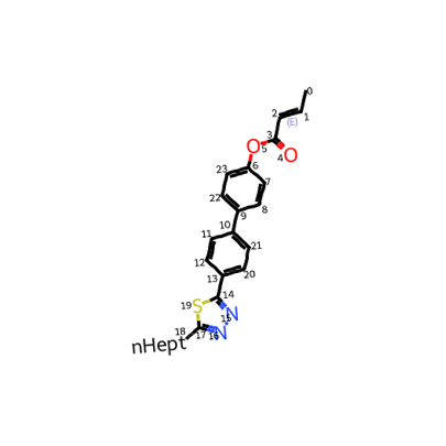 C/C=C/C(=O)Oc1ccc(-c2ccc(-c3nnc(CCCCCCC)s3)cc2)cc1